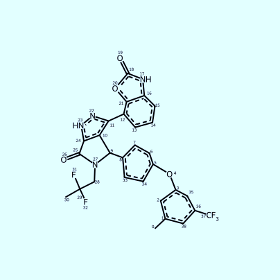 Cc1cc(Oc2ccc(C3c4c(-c5cccc6[nH]c(=O)oc56)n[nH]c4C(=O)N3CC(C)(F)F)cc2)cc(C(F)(F)F)c1